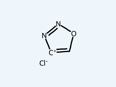 [C+]1=CON=N1.[Cl-]